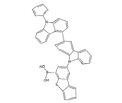 OB(O)c1cc(-n2c3ccccc3c3cc(-c4cccc5c4c4ccccc4n5-c4ccccc4)ccc32)cc2c1sc1ccccc12